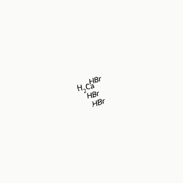 Br.Br.Br.[CaH2]